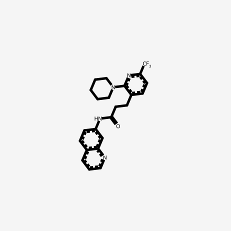 O=C(CCc1ccc(C(F)(F)F)nc1N1CCCCC1)Nc1ccc2cccnc2c1